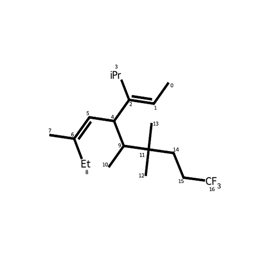 C/C=C(\C(C)C)C(/C=C(/C)CC)C(C)C(C)(C)CCC(F)(F)F